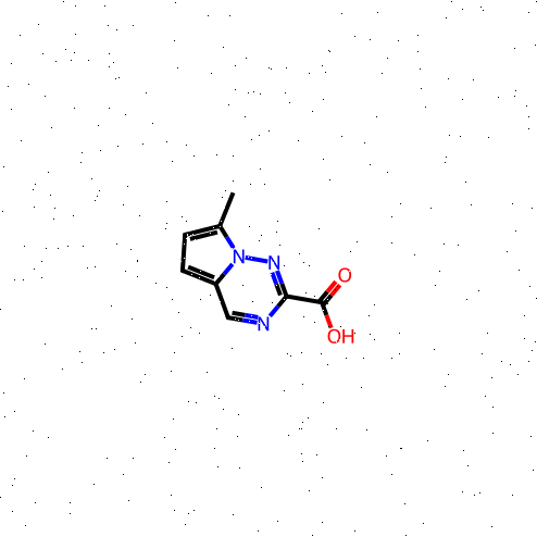 Cc1ccc2cnc(C(=O)O)nn12